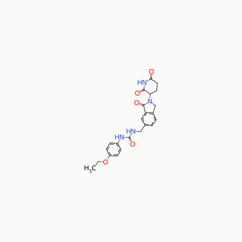 CCOc1ccc(NC(=O)NCc2ccc3c(c2)C(=O)N(C2CCC(=O)NC2=O)C3)cc1